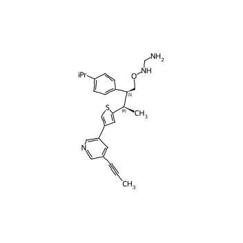 CC#Cc1cncc(-c2csc([C@H](C)[C@H](CONCN)c3ccc(C(C)C)cc3)c2)c1